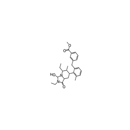 CCC1C(C)C(c2c(C)cccc2Cc2cccc(C(=O)OC)c2)CC2C(=O)N(CC)C(O)N21